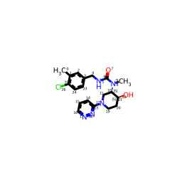 Cc1cc(CNC(=O)N(C)[C@H]2CN(c3cccnn3)CC[C@@H]2O)ccc1Cl